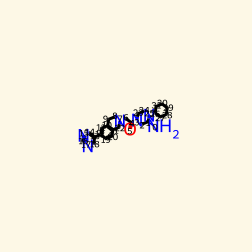 N[C@H]1CN(C(=O)CN2CCc3cc(-c4cncnc4)ccc3C2)CCN1C1CCCCC1